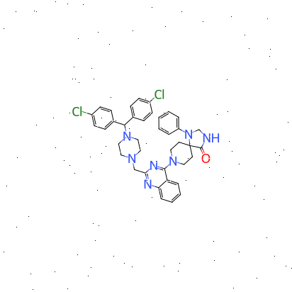 O=C1NCN(c2ccccc2)C12CCN(c1nc(CN3CCN(C(c4ccc(Cl)cc4)c4ccc(Cl)cc4)CC3)nc3ccccc13)CC2